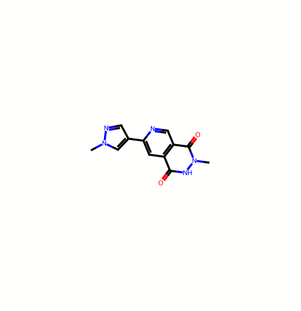 Cn1cc(-c2cc3c(=O)[nH]n(C)c(=O)c3cn2)cn1